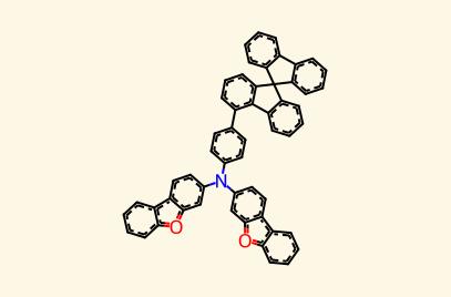 c1ccc2c(c1)-c1ccccc1C21c2ccccc2-c2c(-c3ccc(N(c4ccc5c(c4)oc4ccccc45)c4ccc5c(c4)oc4ccccc45)cc3)cccc21